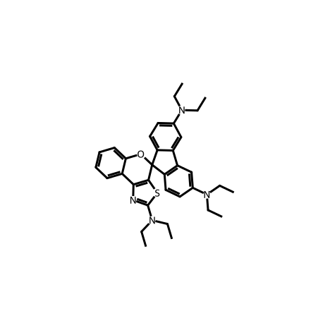 CCN(CC)c1ccc2c(c1)-c1cc(N(CC)CC)ccc1C21Oc2ccccc2-c2nc(N(CC)CC)sc21